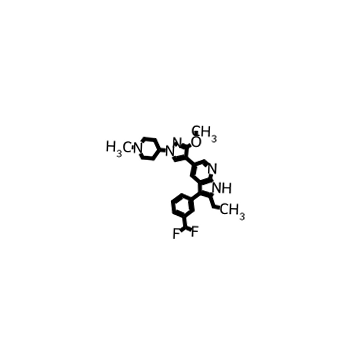 CCc1[nH]c2ncc(-c3cn(C4CCN(C)CC4)nc3OC)cc2c1-c1cccc(C(F)F)c1